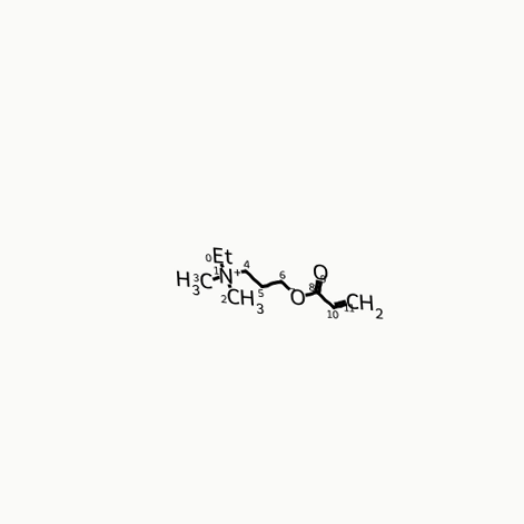 [CH2]C[N+](C)(C)CCCOC(=O)C=C